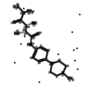 CN1CCN(c2ccc(NC(=O)[C@H](O)[C@@H](O)C(=O)N(C)C)cc2)CC1